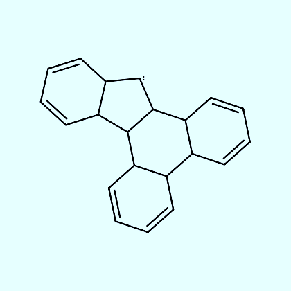 [C]1C2C=CC=CC2C2C1C1C=CC=CC1C1C=CC=CC12